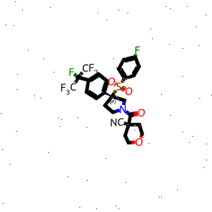 N#CC1(C(=O)N2CC[C@](c3ccc(C(F)(C(F)(F)F)C(F)(F)F)cc3)(S(=O)(=O)c3ccc(F)cc3)C2)CCOCC1